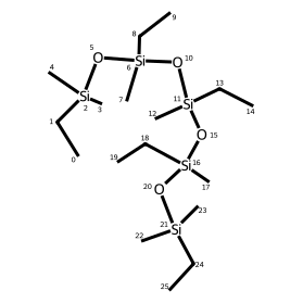 CC[Si](C)(C)O[Si](C)(CC)O[Si](C)(CC)O[Si](C)(CC)O[Si](C)(C)CC